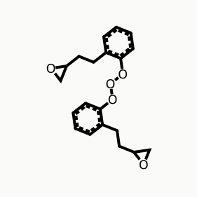 c1ccc(OOOc2ccccc2CCC2CO2)c(CCC2CO2)c1